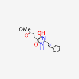 COC(=O)CCc1c(O)nc(/C=C/c2ccccc2)[nH]c1=O